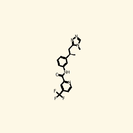 C[C@H](Cc1nncn1C)c1cccc(NC(=O)c2cc(C(F)(F)F)ccn2)c1